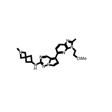 COCCn1c(C)nc2ccc(-c3ccn4nc(NC5CC6(C5)CN(C)C6)ncc34)nc21